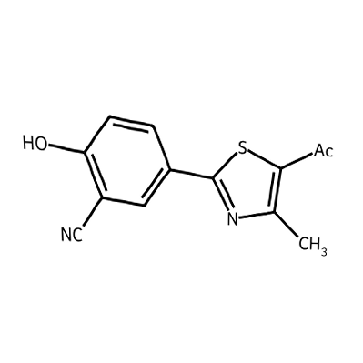 CC(=O)c1sc(-c2ccc(O)c(C#N)c2)nc1C